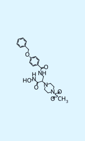 CS(=O)(=O)N1CCN(C(CNC(=O)c2ccc(OCc3ccccc3)cc2)C(=O)NO)CC1